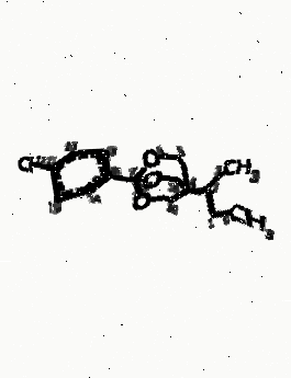 CCC(C)C12COC(c3ccc(Cl)cc3)(OC1)OC2